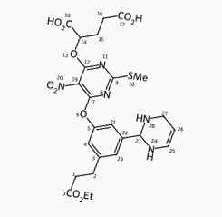 CCOC(=O)CCc1cc(Oc2nc(SC)nc(OC(CCC(=O)O)C(=O)O)c2[N+](=O)[O-])cc(C2NC=CCN2)c1